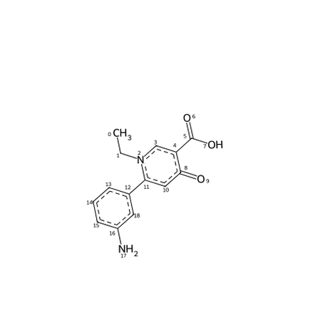 CCn1cc(C(=O)O)c(=O)cc1-c1cccc(N)c1